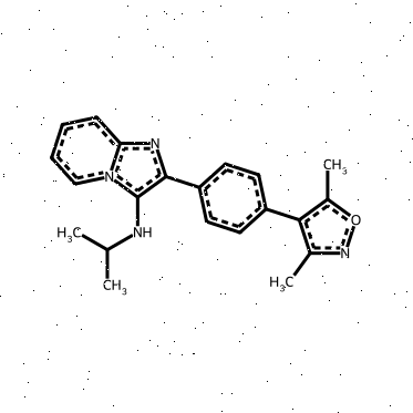 Cc1noc(C)c1-c1ccc(-c2nc3ccccn3c2NC(C)C)cc1